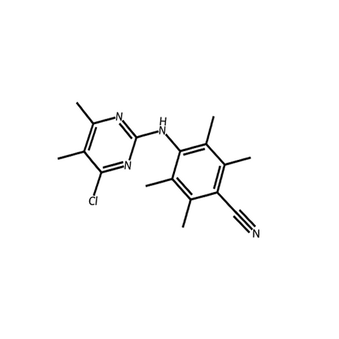 Cc1nc(Nc2c(C)c(C)c(C#N)c(C)c2C)nc(Cl)c1C